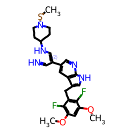 COc1cc(OC)c(F)c(Cc2c[nH]c3ncc(/C(C=N)=C/NC4CCN(SC)CC4)cc23)c1F